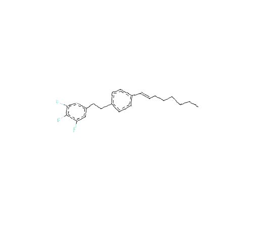 CCCCCCC=Cc1ccc(CCc2cc(F)c(F)c(F)c2)cc1